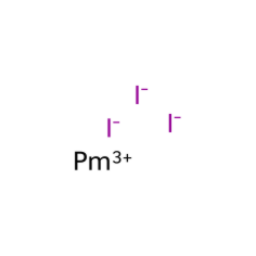 [I-].[I-].[I-].[Pm+3]